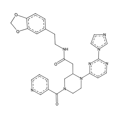 O=C(CC1CN(C(=O)c2cccnc2)CCN1c1ccnc(-n2ccnc2)n1)NCCc1ccc2c(c1)OCO2